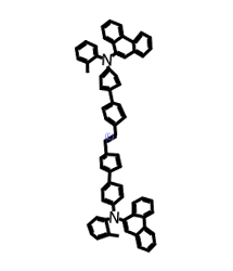 Cc1ccccc1N(c1ccc(-c2ccc(/C=C/c3ccc(-c4ccc(N(c5ccccc5C)c5cc6ccccc6c6ccccc56)cc4)cc3)cc2)cc1)c1cc2ccccc2c2ccccc12